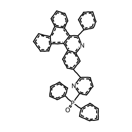 O=P(c1ccccc1)(c1ccccc1)c1cccc(-c2ccc3c(c2)nc(-c2ccccc2)c2c4ccccc4c4ccccc4c32)n1